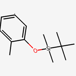 Cc1cc[c]cc1O[Si](C)(C)C(C)(C)C